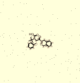 CC(C)(C)N(C(=O)O)[C@@H](Cc1ccccc1)C(=O)N1Cc2ccccc2CO1